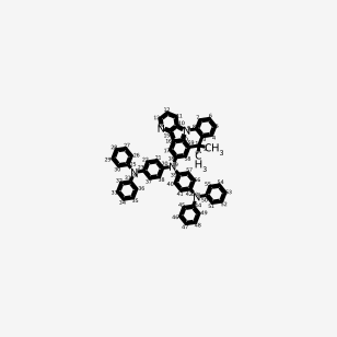 CC1(C)c2ccccc2-n2c3cccnc3c3cc(N(c4ccc(N(c5ccccc5)c5ccccc5)cc4)c4ccc(N(c5ccccc5)c5ccccc5)cc4)cc1c32